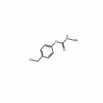 CCCCNC(=O)Oc1ccc(CCl)cc1